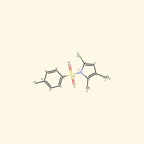 CCc1c([N+](=O)[O-])cc(Cl)n1S(=O)(=O)c1ccc(C)cc1